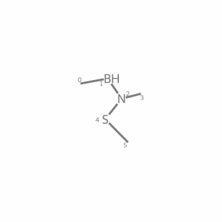 CBN(C)SC